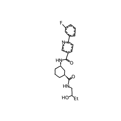 CCC(O)CNC(=O)[C@H]1CCC[C@@H](NC(=O)c2ccc(-c3cccc(F)c3)nc2)C1